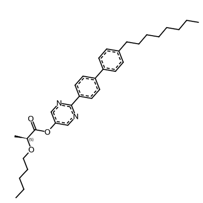 CCCCCCCCc1ccc(-c2ccc(-c3ncc(OC(=O)[C@H](C)OCCCCC)cn3)cc2)cc1